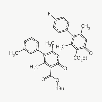 CCCCOC(=O)c1c(C)n(-c2cccc(C)c2)c(C)cc1=O.CCOC(=O)c1c(C)n(-c2ccc(F)cc2)c(C)cc1=O